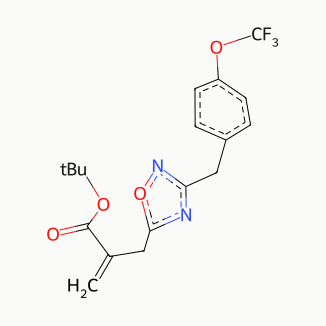 C=C(Cc1nc(Cc2ccc(OC(F)(F)F)cc2)no1)C(=O)OC(C)(C)C